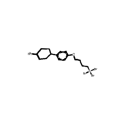 CCCC1CCC(c2ccc(OCCCC[Si](Br)(Br)Br)cc2)CC1